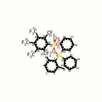 Cc1cccc(C)c1S(OS(=O)(=O)c1c(C(F)(F)F)c(C(F)(F)F)c(C(F)(F)F)c(C(F)(F)F)c1C(F)(F)F)(c1ccccc1)c1ccccc1